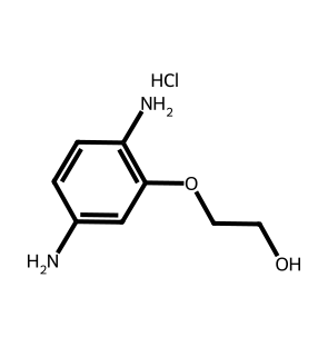 Cl.Nc1ccc(N)c(OCCO)c1